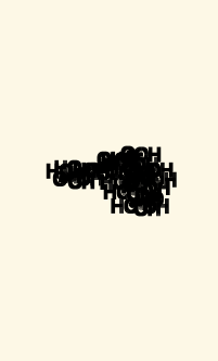 O=C(CO)C(O)C(O)CO.O=C[C@@H](O)[C@H](O)[C@H](O)CO.O=C[C@H](O)[C@@H](O)[C@H](O)[C@H](O)CO.OC1OC[C@@H](O)[C@H](O)[C@H]1O.OC[C@H]1O[C@H](O[C@H]2[C@H](O)[C@@H](O)[C@H](O)O[C@@H]2CO)[C@H](O)[C@@H](O)[C@@H]1O